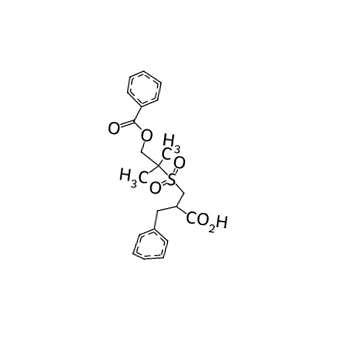 CC(C)(COC(=O)c1ccccc1)S(=O)(=O)CC(Cc1ccccc1)C(=O)O